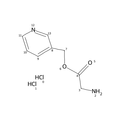 Cl.Cl.NCC(=O)OCc1cccnc1